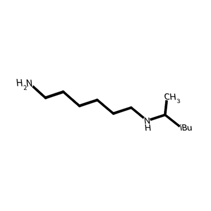 CCC(C)C(C)NCCCCCCN